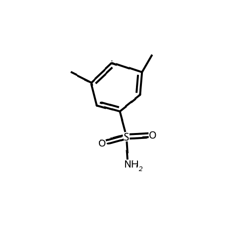 Cc1[c]c(C)cc(S(N)(=O)=O)c1